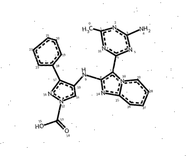 Cc1nc(N)nc(-c2c(Nc3cn(C(=O)O)nc3-c3ccccc3)nc3ccccn23)n1